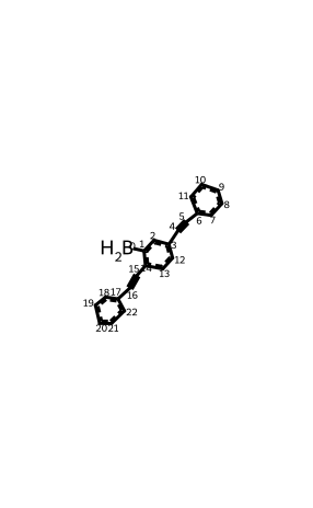 Bc1cc(C#Cc2ccccc2)ccc1C#Cc1ccccc1